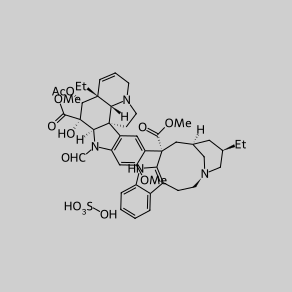 CC[C@@H]1C[C@H]2C[N@](CCc3c([nH]c4ccccc34)[C@@](C(=O)OC)(c3cc4c(cc3OC)N(C=O)[C@H]3[C@@](O)(C(=O)OC)[C@H](OC(C)=O)[C@]5(CC)C=CCN6CC[C@]43[C@@H]65)C2)C1.O=S(=O)(O)O